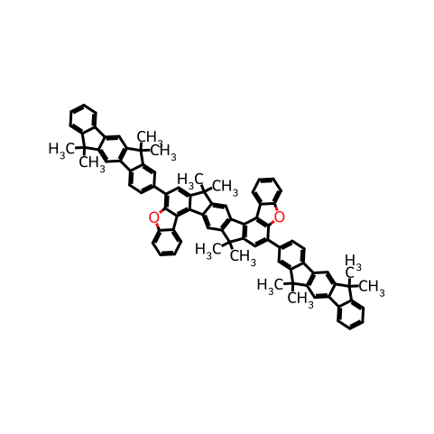 CC1(C)c2ccccc2-c2cc3c(cc21)-c1ccc(-c2cc4c(c5c2oc2ccccc25)-c2cc5c(cc2C4(C)C)-c2c(cc(-c4ccc6c(c4)C(C)(C)c4cc7c(cc4-6)C(C)(C)c4ccccc4-7)c4oc6ccccc6c24)C5(C)C)cc1C3(C)C